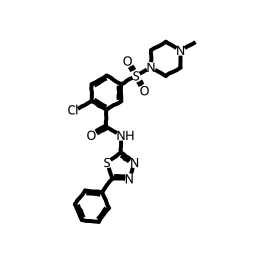 CN1CCN(S(=O)(=O)c2ccc(Cl)c(C(=O)Nc3nnc(-c4ccccc4)s3)c2)CC1